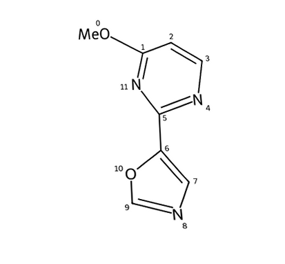 COc1ccnc(-c2cnco2)n1